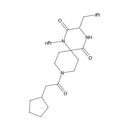 CCCN1C(=O)C(CC(C)C)NC(=O)C12CCN(C(=O)CC1CCCC1)CC2